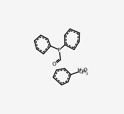 Cc1ccccc1.O.O=CP(c1ccccc1)c1ccccc1